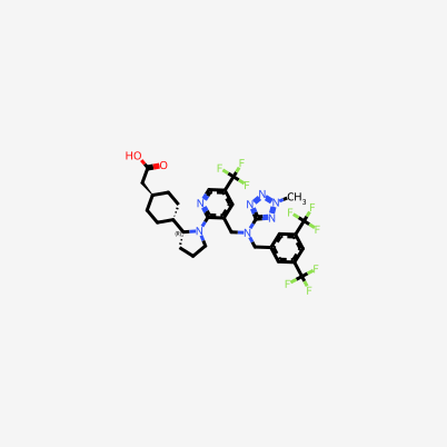 Cn1nnc(N(Cc2cc(C(F)(F)F)cc(C(F)(F)F)c2)Cc2cc(C(F)(F)F)cnc2N2CCC[C@@H]2[C@H]2CC[C@H](CC(=O)O)CC2)n1